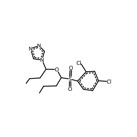 CCCC(OC(CCC)S(=O)(=O)c1ccc(Cl)cc1Cl)n1cnnc1